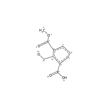 COC(=O)c1cccc(C(=O)O)c1C[O]